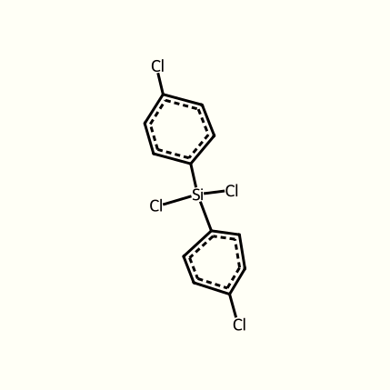 Clc1ccc([Si](Cl)(Cl)c2ccc(Cl)cc2)cc1